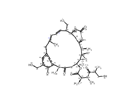 C/C1=C\C=C\[C@@H](CO)[C@@]2(O)C[C@H](OC(=O)N2)[C@@H](C)[C@@H]2O[C@@]2(C)[C@@H](OC(=O)[C@H](C)N(C)C(=O)C(C)CS)CC(=O)N(C)c2cc(cc(CO)c2Cl)C1